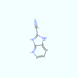 N#Cc1nc2ncccc2[nH]1